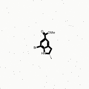 COC(=O)c1cc(Br)c2c(c1)C[C@H](C)N2